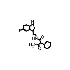 NC(=O)C(C(=O)NCCC1CNc2ccc(F)cc21)C1CCCCC1